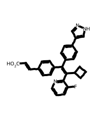 O=C(O)C=Cc1ccc(C(=C(c2ncccc2F)C2CCC2)c2ccc(-c3cn[nH]c3)cc2)cc1